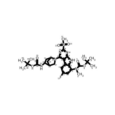 CN(C(=O)OC(C)(C)C)c1cc(F)cc2c1[nH]c1nc(S(C)(=O)=O)nc(N3CC4CC3CC4NC(=O)OC(C)(C)C)c12